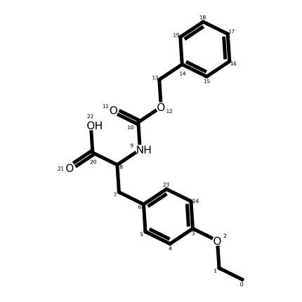 CCOc1ccc(CC(NC(=O)OCc2ccccc2)C(=O)O)cc1